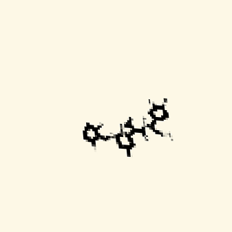 Cc1cc(OCc2c(F)cccc2F)n2nc(C)c(C(=O)NC(CN)c3ccc(F)c(F)c3)c2c1